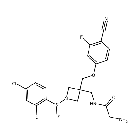 N#Cc1ccc(OCC2(CNC(=O)CN)CN([S+]([O-])c3ccc(Cl)cc3Cl)C2)cc1F